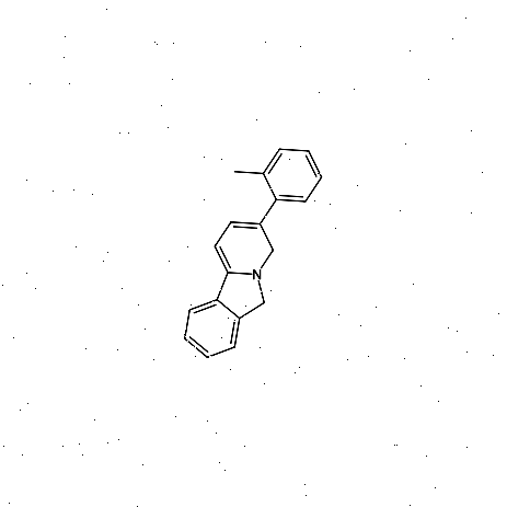 Cc1ccccc1C1=CC=C2c3ccccc3CN2C1